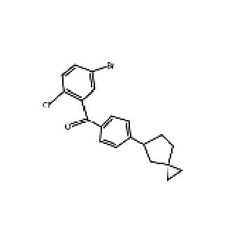 O=C(c1ccc(C2CCC3(CC3)C2)cc1)c1cc(Br)ccc1Cl